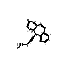 CNCC#CC1c2ccccc2C=Cc2ccccc21